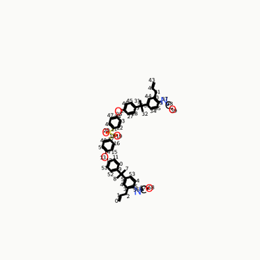 C=CCc1cc(C(C)(C)c2ccc(Oc3ccc(S(=O)(=O)c4ccc(Oc5ccc(C(C)(C)c6ccc(N=C=O)c(CC=C)c6)cc5)cc4)cc3)cc2)ccc1N=C=O